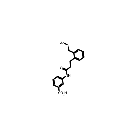 CC(=O)SCc1ccccc1CCC(=O)Nc1cccc(C(=O)O)c1